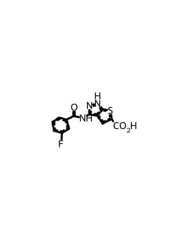 O=C(Nc1n[nH]c2sc(C(=O)O)cc12)c1cccc(F)c1